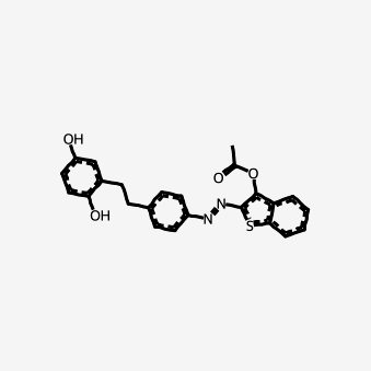 CC(=O)Oc1c(N=Nc2ccc(CCc3cc(O)ccc3O)cc2)sc2ccccc12